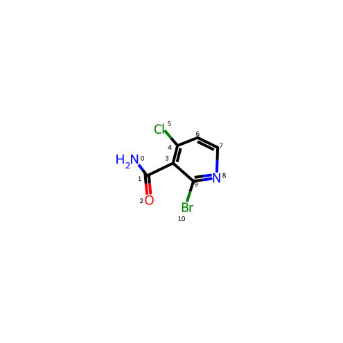 NC(=O)c1c(Cl)ccnc1Br